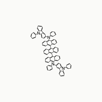 c1ccc(N(c2ccc3c(c2)c2ccccc2n3-c2ccccc2)c2c3ccccc3c(-c3c4ccccc4c(-c4c5ccccc5c(N(c5ccccc5)c5ccc6c(c5)c5ccccc5n6-c5ccccc5)c5ccccc45)c4ccccc34)c3ccccc23)cc1